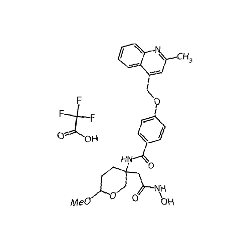 COC1CCC(CC(=O)NO)(NC(=O)c2ccc(OCc3cc(C)nc4ccccc34)cc2)CO1.O=C(O)C(F)(F)F